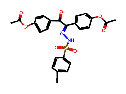 CC(=O)Oc1ccc(C(=O)C(=NNS(=O)(=O)c2ccc(C)cc2)c2ccc(OC(C)=O)cc2)cc1